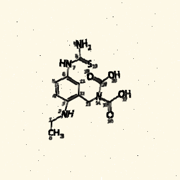 CCNc1ccc(NC(N)=S)cc1CN(C(=O)O)C(=O)O